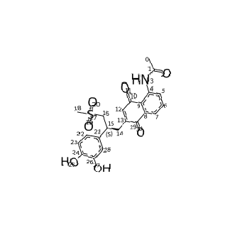 CC(=O)Nc1cccc2c1C(=O)C=C(C[C@H](CS(C)(=O)=O)c1ccc(O)c(O)c1)C2=O